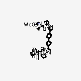 COO/C=N\[C@H](C(=O)N1CCC[C@H]1c1ncc(-c2ccc(-c3ccc(-c4cnc([C@@H]5CCCN5C(=O)[C@H](NC5=NCCN5)C(C)C)[nH]4)cc3)cc2)[nH]1)C1CC1